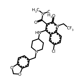 CN(C)C(=O)c1c(NC2CCN(Cc3ccc4c(c3)OCO4)CC2)c2cc(Cl)ccc2n(CC(F)(F)F)c1=O